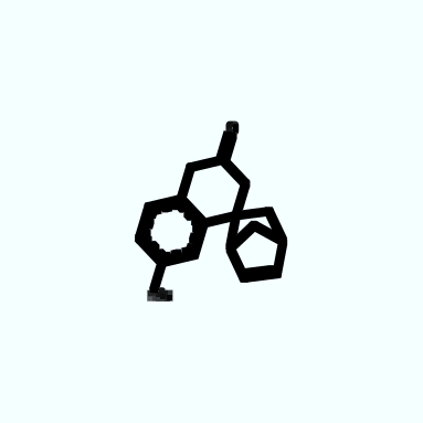 CCCCc1ccc2c(c1)C1(CC(=O)C2)CC2C=CC1C2